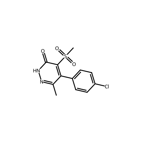 Cc1n[nH]c(=O)c(S(C)(=O)=O)c1-c1ccc(Cl)cc1